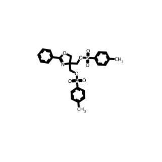 Cc1ccc(S(=O)(=O)OCC2(COS(=O)(=O)c3ccc(C)cc3)COC(c3ccccc3)=N2)cc1